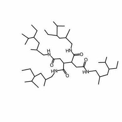 CCC(CC(C)CNC(=O)CC(C(=O)NCC(C)CC(CC)C(C)C)C(CC(=O)NCC(C)CC(CC)C(C)C)C(=O)NCC(C)CC(CC)C(C)C)C(C)C